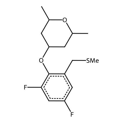 CSCc1cc(F)cc(F)c1OC1CC(C)OC(C)C1